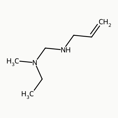 C=CCNCN(C)CC